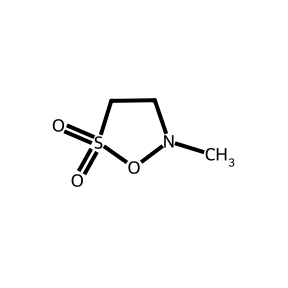 CN1CCS(=O)(=O)O1